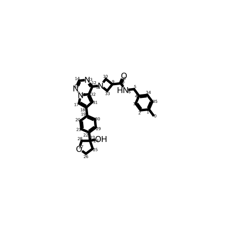 Cc1ccc(CNC(=O)C2CN(c3ncnn4cc(-c5ccc(C6(O)CCOC6)cc5)cc34)C2)cc1